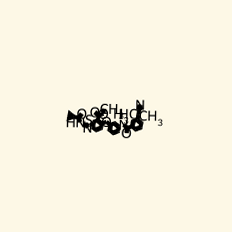 COC(=O)c1c(Oc2cccc(NC(=O)c3cccc(C(C)(C)C#N)c3)c2)ccc2nc(NC(=O)C3CC3)sc12